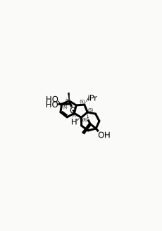 C=C1C[C@]23CCC1(O)CC[C@H]2[C@@]12C=C[C@H](O)[C@@](C)(C(O)O1)C2[C@@H]3C(C)C